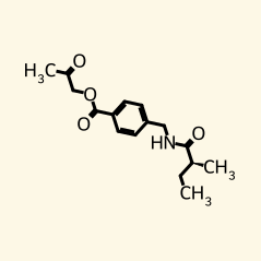 CC[C@H](C)C(=O)NCc1ccc(C(=O)OCC(C)=O)cc1